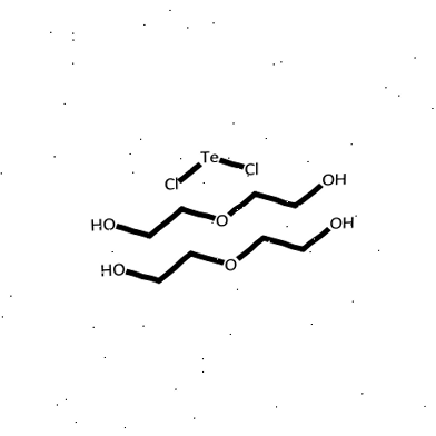 Cl[Te]Cl.OCCOCCO.OCCOCCO